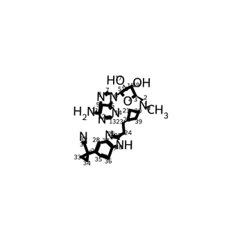 CN(C[C@H]1O[C@@H](n2cnc3c(N)ncnc32)[C@H](O)[C@@H]1O)[C@H]1C[C@H](CCc2nc3cc(C4(C#N)CC4)ccc3[nH]2)C1